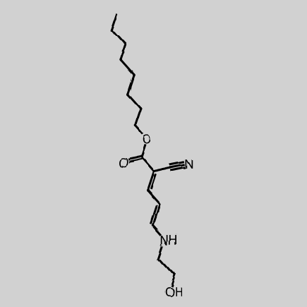 CCCCCCCCOC(=O)/C(C#N)=C/C=C/NCCO